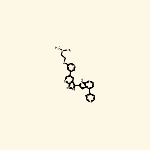 CN(C)CCOc1cncc(-c2cnc3[nH]nc(-c4cc5c(-c6ccncc6)ccnc5[nH]4)c3c2)c1